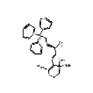 CNC1=C(C=CC(C)=CC[PH](c2ccccc2)(c2ccccc2)c2ccccc2)C(NC)(NC)CCC1